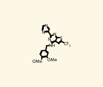 COc1ccc(CNc2nc(-c3cnccn3)nc3sc(C(F)(F)F)cc23)cc1OC